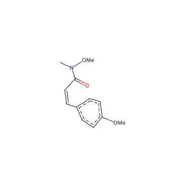 COc1ccc(/C=C\C(=O)N(C)OC)cc1